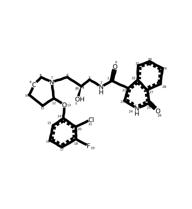 O=C(NC[C@@H](O)CN1CCCCC1Oc1cccc(F)c1Cl)c1c[nH]c(=O)c2ccccc12